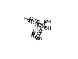 O.O.O.O.O.O.O.O.OB(O)O.[Mn]